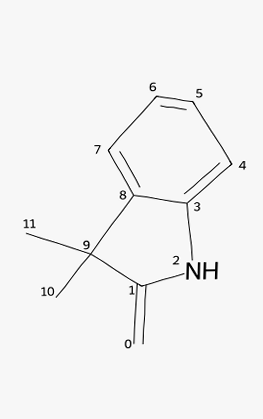 C=C1Nc2ccccc2C1(C)C